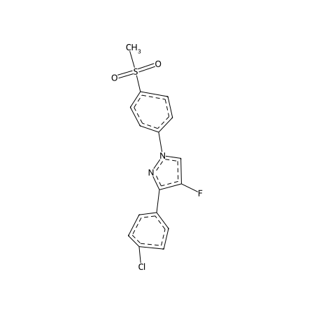 CS(=O)(=O)c1ccc(-n2cc(F)c(-c3ccc(Cl)cc3)n2)cc1